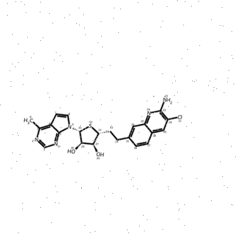 Cc1ncnc2c1ccn2[C@@H]1S[C@H](CCc2ccc3cc(Cl)c(N)nc3c2)[C@@H](O)[C@H]1O